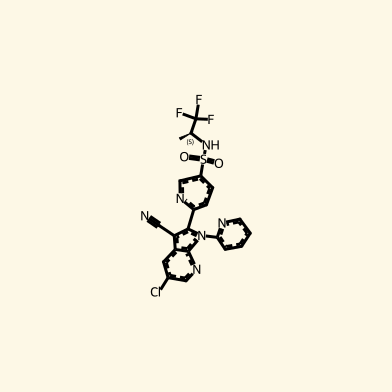 C[C@H](NS(=O)(=O)c1ccc(-c2c(C#N)c3cc(Cl)cnc3n2-c2ccccn2)nc1)C(F)(F)F